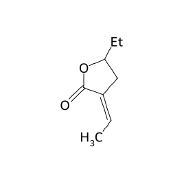 CC=C1CC(CC)OC1=O